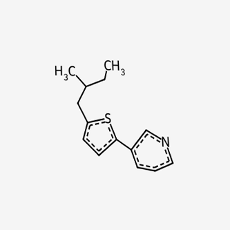 CCC(C)Cc1ccc(-c2cccnc2)s1